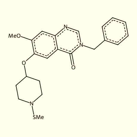 COc1cc2ncn(Cc3ccccc3)c(=O)c2cc1OC1CCN(SC)CC1